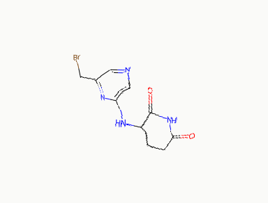 O=C1CCC(Nc2cncc(CBr)n2)C(=O)N1